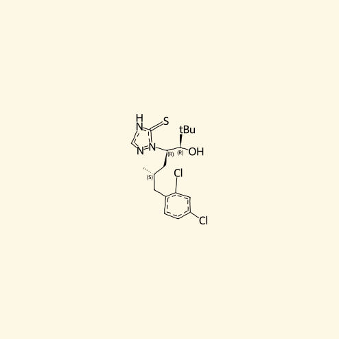 C[C@@H](Cc1ccc(Cl)cc1Cl)C[C@H]([C@H](O)C(C)(C)C)n1nc[nH]c1=S